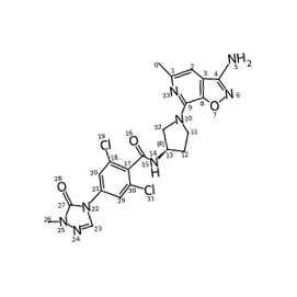 Cc1cc2c(N)noc2c(N2CC[C@@H](NC(=O)c3c(Cl)cc(-n4cnn(C)c4=O)cc3Cl)C2)n1